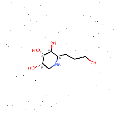 OCCC[C@H]1NC[C@H](O)[C@H](O)[C@H]1O